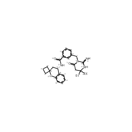 CCC1(CC)CC(=O)N(Cc2cccc(C(=O)N[C@H]3CC4(CCC4)Oc4ccccc43)c2)C(=N)N1